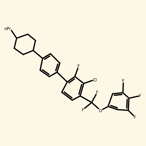 CCCC1CCC(c2ccc(-c3ccc(C(F)(F)Oc4cc(F)c(F)c(F)c4)c(Cl)c3F)cc2)CC1